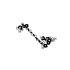 O=C1CCC(N2Cc3c(OCCOCCOCCOCCOCCOCC(=O)Nc4cccc(-c5ccc6c(c5)[C@H]5[C@H](CCN5Cc5ccncc5)[C@@H](CO)N6)c4)cccc3C2=O)C(=O)N1